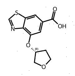 O=C(O)c1cc(O[C@@H]2CCOC2)c2ncsc2c1